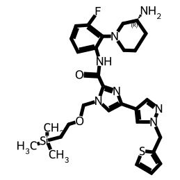 C[Si](C)(C)CCOCn1cc(-c2cnn(Cc3cccs3)c2)nc1C(=O)Nc1cccc(F)c1N1CCC[C@@H](N)C1